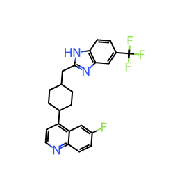 Fc1ccc2nccc(C3CCC(Cc4nc5cc(C(F)(F)F)ccc5[nH]4)CC3)c2c1